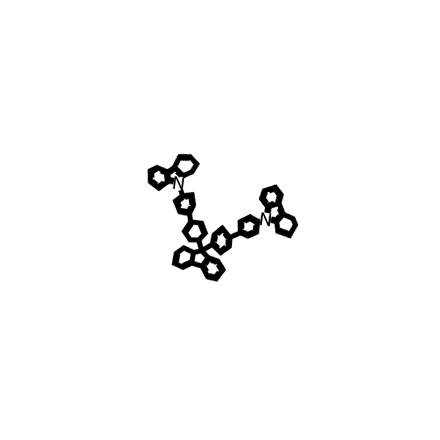 C1=CCC2C(=C1)c1ccccc1C2(c1ccc(-c2ccc(-n3c4c(c5ccccc53)CCC=C4)cc2)cc1)C1C=CC(c2ccc(-n3c4c(c5ccccc53)C=CCC4)cc2)=CC1